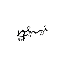 CC(=O)NCCCNC(=O)C1CC(C)(C)N(O)C1(C)C